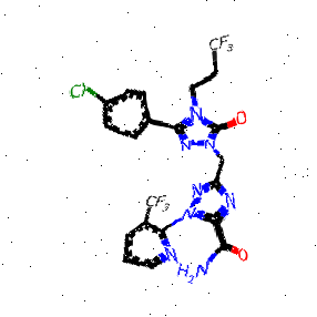 NC(=O)c1nc(Cn2nc(-c3ccc(Cl)cc3)n(CCC(F)(F)F)c2=O)nn1-c1ncccc1C(F)(F)F